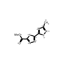 COC(=O)c1nnc(-c2nc(C)ns2)s1